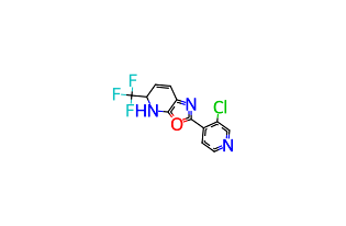 FC(F)(F)C1C=Cc2nc(-c3ccncc3Cl)oc2N1